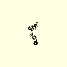 O=C(COCC1CCCN1S(=O)(=O)c1cc(Cl)sc1Cl)N1CCN(Cc2ccccc2)CC1